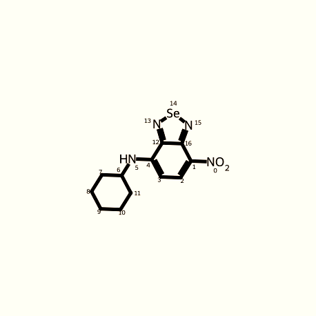 O=[N+]([O-])c1ccc(NC2CCCCC2)c2n[se]nc12